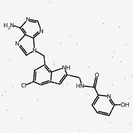 Nc1ncnc2c1ncn2Cc1cc(Cl)cc2cc(CNC(=O)c3cccc(O)n3)[nH]c12